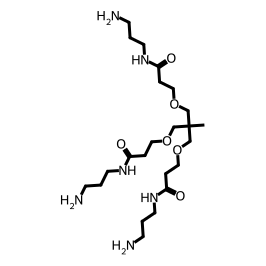 CC(COCCC(=O)NCCCN)(COCCC(=O)NCCCN)COCCC(=O)NCCCN